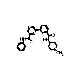 CN1CCC(NC(=O)c2cccc(-c3cncc(C(=O)Nc4ccccc4)n3)c2)CC1